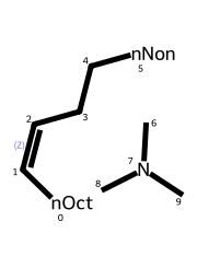 CCCCCCCC/C=C\CCCCCCCCCCC.CN(C)C